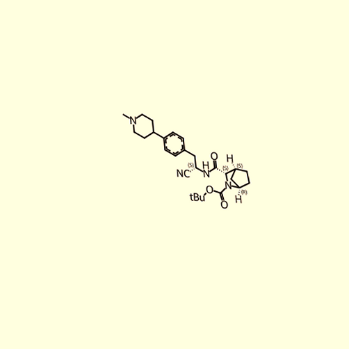 CN1CCC(c2ccc(C[C@@H](C#N)NC(=O)[C@@H]3[C@H]4CC[C@H](C4)N3C(=O)OC(C)(C)C)cc2)CC1